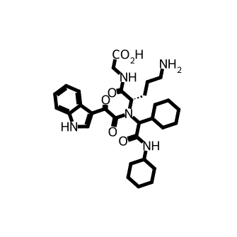 NCCC[C@@H](C(=O)NCC(=O)O)N(C(=O)C(=O)c1c[nH]c2ccccc12)C(C(=O)NC1CCCCC1)C1CCCCC1